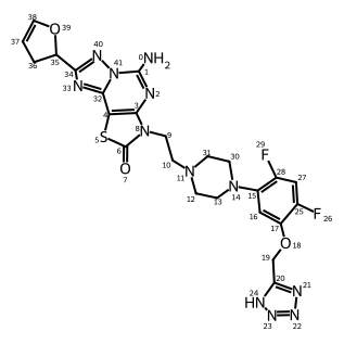 Nc1nc2c(sc(=O)n2CCN2CCN(c3cc(OCc4nnn[nH]4)c(F)cc3F)CC2)c2nc(C3CC=CO3)nn12